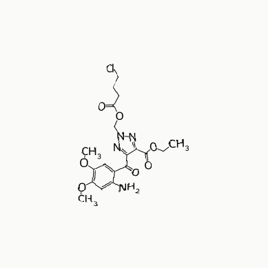 CCOC(=O)c1nn(COC(=O)CCCCl)nc1C(=O)c1cc(OC)c(OC)cc1N